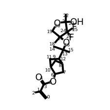 C=C(C)C(=O)OC1CC2CC1CC2C(C)(C)OC1(C)COC(C)(O)C1(F)F